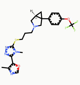 Cc1ncoc1-c1nnc(SCCCN2C[C@H]3CC3(c3ccc(OC(F)(F)F)cc3)C2)n1C